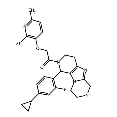 CCc1nc(C)ccc1OCC(=O)N1CCc2nc3n(c2C1c1ccc(C2CC2)cc1F)CCNC3